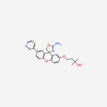 CC(C)(O)CCOc1ccc2c(c1)C1(COC(N)=N1)c1cc(-c3cccnc3)ccc1O2